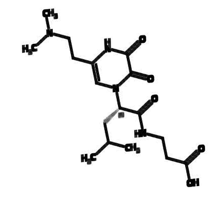 CC(C)C[C@@H](C(=O)NCCC(=O)O)n1cc(CCN(C)C)[nH]c(=O)c1=O